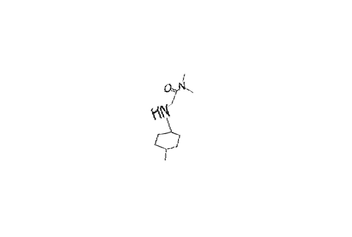 CC1CCC(NCC(=O)N(C)C)CC1